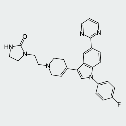 O=C1NCCN1CCN1CC=C(c2cn(-c3ccc(F)cc3)c3ccc(-c4ncccn4)cc23)CC1